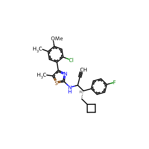 C#CC(Nc1nc(-c2cc(C)c(OC)cc2Cl)c(C)s1)[C@@H](CC1CCC1)c1ccc(F)cc1